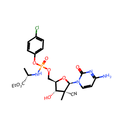 CCOC(=O)[C@H](C)NP(=O)(OC[C@H]1O[C@@H](n2ccc(N)nc2=O)[C@](C)(C#N)[C@@H]1O)Oc1ccc(Cl)cc1